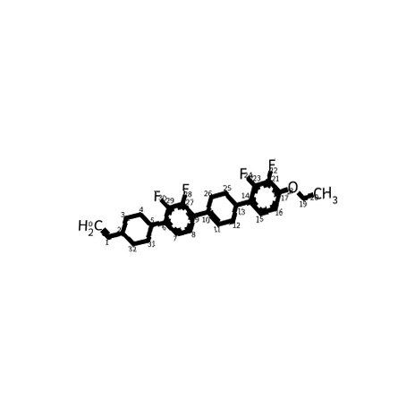 C=CC1CCC(c2ccc(C3=CCC(c4ccc(OCC)c(F)c4F)CC3)c(F)c2F)CC1